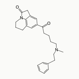 CN(CCCCC(=O)c1cc2c3c(c1)CC(=O)N3CCC2)CCc1ccccc1